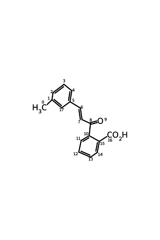 Cc1cccc(C=CC(=O)c2ccccc2C(=O)O)c1